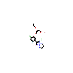 CCCO/C(=C/C(=O)OC)COc1cc(-c2c(Cl)n3n(c2=O)CCCC3)c(F)cc1Cl